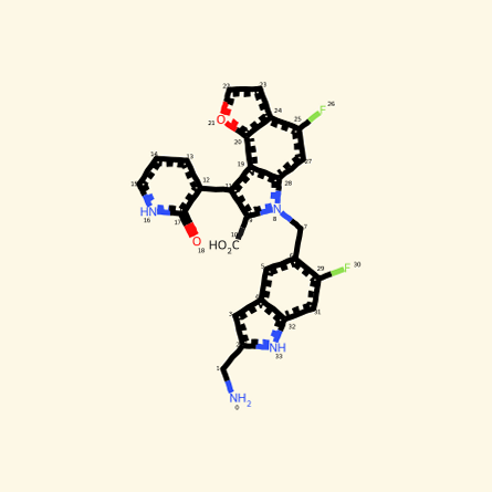 NCc1cc2cc(Cn3c(C(=O)O)c(-c4ccc[nH]c4=O)c4c5occc5c(F)cc43)c(F)cc2[nH]1